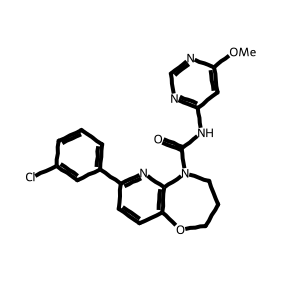 COc1cc(NC(=O)N2CCCOc3ccc(-c4cccc(Cl)c4)nc32)ncn1